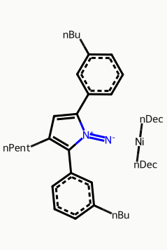 CCCCCC1=C(c2cccc(CCCC)c2)[N+](=[N-])C(c2cccc(CCCC)c2)=C1.CCCCCCCCC[CH2][Ni][CH2]CCCCCCCCC